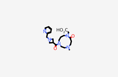 CN1CCC(=O)N(CC(=O)O)CCCN(C(=O)C2CN(Cc3ccccn3)C2)CC1